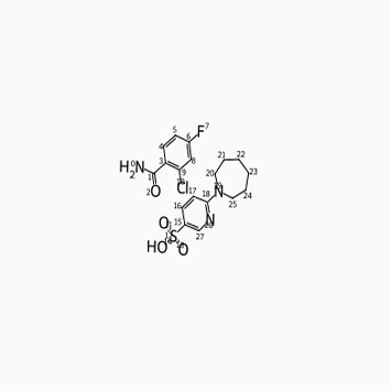 NC(=O)c1ccc(F)cc1Cl.O=S(=O)(O)c1ccc(N2CCCCCC2)nc1